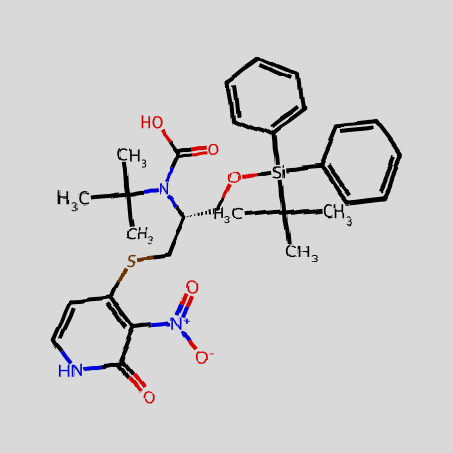 CC(C)(C)N(C(=O)O)[C@H](CO[Si](c1ccccc1)(c1ccccc1)C(C)(C)C)CSc1cc[nH]c(=O)c1[N+](=O)[O-]